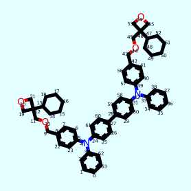 c1ccc(N(c2ccc(COCC3(C4CCCCC4)COC3)cc2)c2ccc(-c3ccc(N(c4ccccc4)c4ccc(COCC5(C6CCCCC6)COC5)cc4)cc3)cc2)cc1